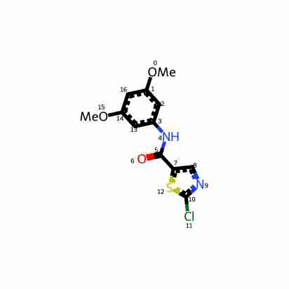 COc1cc(NC(=O)c2cnc(Cl)s2)cc(OC)c1